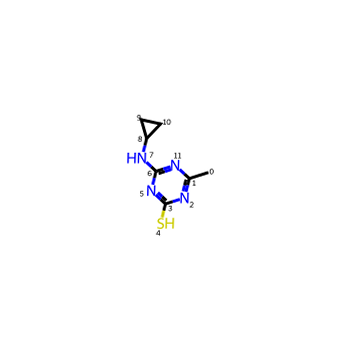 Cc1nc(S)nc(NC2CC2)n1